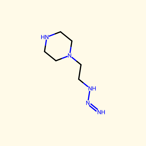 N=NNCCN1CCNCC1